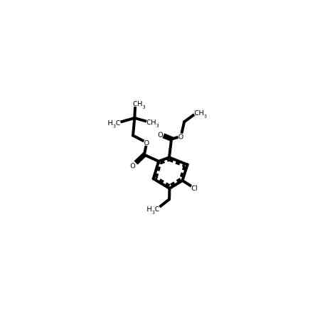 CCOC(=O)c1cc(Cl)c(CC)cc1C(=O)OCC(C)(C)C